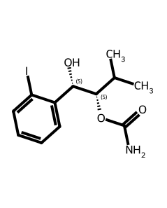 CC(C)[C@H](OC(N)=O)[C@@H](O)c1ccccc1I